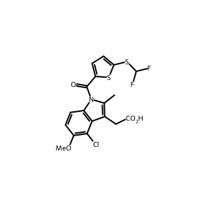 COc1ccc2c(c1Cl)c(CC(=O)O)c(C)n2C(=O)c1ccc(SC(F)F)s1